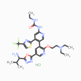 CCNC(=O)Nc1cc(-c2nc(C(F)(F)F)cs2)c(-c2cc(-c3nnc(C(N)C(C)C)o3)cnc2OCCN(CC)CC)cn1.Cl